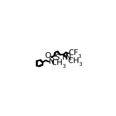 CN(CCc1ccccc1)C(=O)c1ccc(-c2cc(C(F)(F)F)n(C)n2)s1